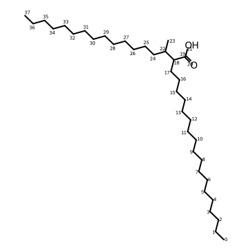 CCCCCCCCCCCCCCCCCCC(C(=O)O)C(C)CCCCCCCCCCCCCC